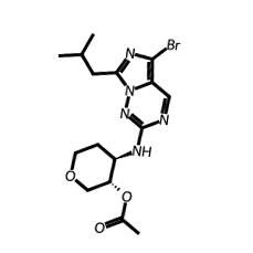 CC(=O)O[C@@H]1COCC[C@H]1Nc1ncc2c(Br)nc(CC(C)C)n2n1